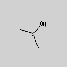 C[Si](C)O